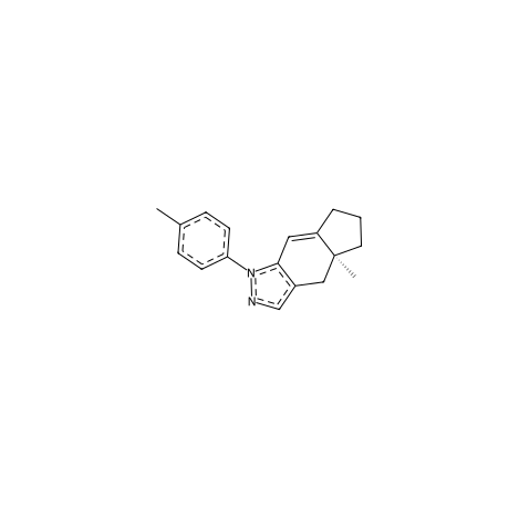 Cc1ccc(-n2ncc3c2C=C2CCC[C@@]2(C)C3)cc1